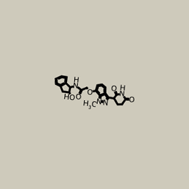 Cn1nc(C2CCC(=O)NC2=O)c2cccc(OCC(=O)NC3c4ccccc4CC3O)c21